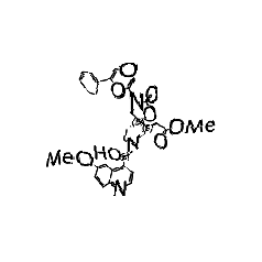 COC(=O)C[C@H]1CN(C[C@@H](O)c2ccnc3ccc(OC)cc23)CC[C@@]12CN(C1=COC=C(C3=CC=CCC3)O1)C(=O)O2